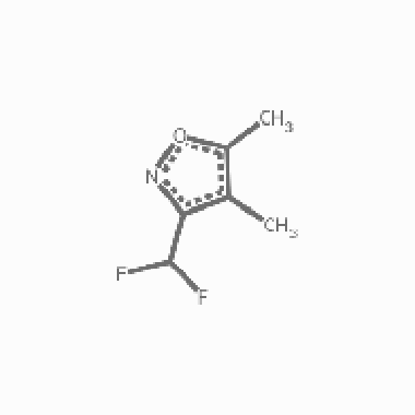 Cc1onc(C(F)F)c1C